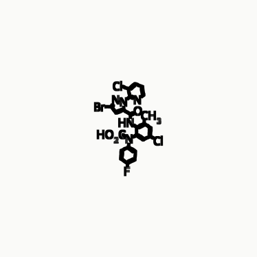 Cc1cc(Cl)cc(N(C(=O)O)c2ccc(F)cc2)c1NC(=O)c1cc(Br)nn1-c1ncccc1Cl